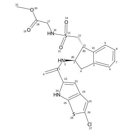 C=C(N[C@@H]1Cc2ccccc2[C@H]1CS(=O)(=O)NCC(=O)OC)c1cc2cc(Cl)sc2[nH]1